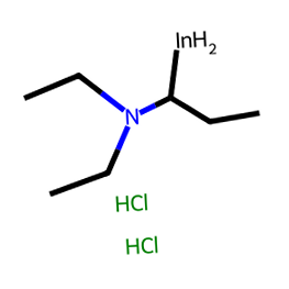 CC[CH]([InH2])N(CC)CC.Cl.Cl